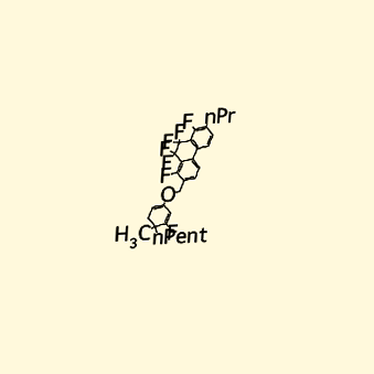 CCCCCC1(C)CC=C(OCc2ccc3c(c2F)C(F)(F)C(F)(F)c2c-3ccc(CCC)c2F)C=C1F